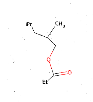 CCC(=O)OCC(C)CC(C)C